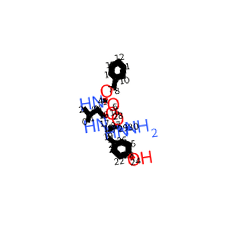 CC(C)[C@H](NC(=O)OCc1ccccc1)C(=O)N[C@@H](Cc1ccc(O)cc1)C(=O)NN